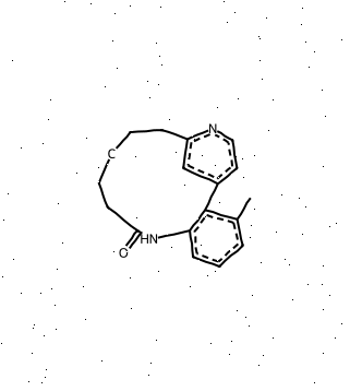 Cc1cccc2c1-c1ccnc(c1)CCCCCC(=O)N2